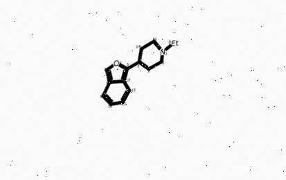 CCN1CCC(c2occ3ccccc23)CC1